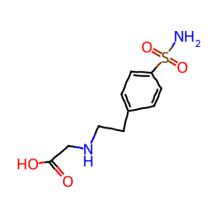 NS(=O)(=O)c1ccc(CCNCC(=O)O)cc1